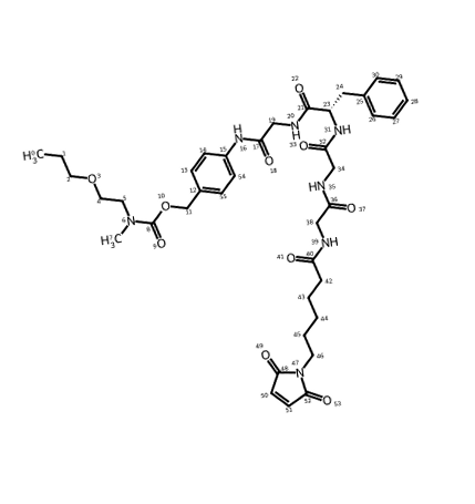 CCCOCCN(C)C(=O)OCc1ccc(NC(=O)CNC(=O)[C@H](Cc2ccccc2)NC(=O)CNC(=O)CNC(=O)CCCCCN2C(=O)C=CC2=O)cc1